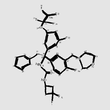 O=C(NC1CC(F)(F)C1)N[C@@](Cc1ccccc1)(c1cc(F)cc(OC(F)(F)C(F)F)c1)c1ccc(F)c(CN2CCOCC2)c1